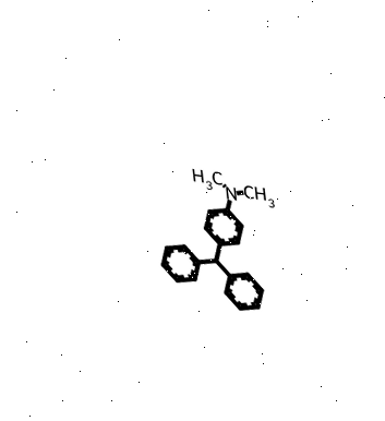 CN(C)c1ccc(C(c2ccccc2)c2ccccc2)cc1